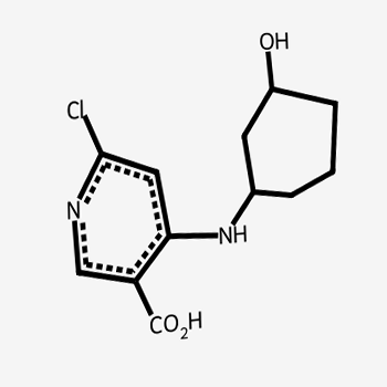 O=C(O)c1cnc(Cl)cc1NC1CCCC(O)C1